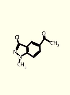 CC(=O)c1ccc2c(c1)c(Cl)nn2C